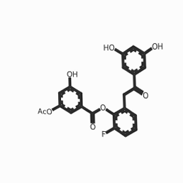 CC(=O)Oc1cc(O)cc(C(=O)Oc2c(F)cccc2CC(=O)c2cc(O)cc(O)c2)c1